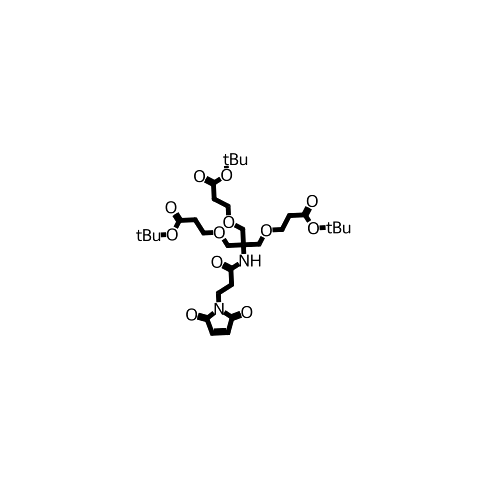 CC(C)(C)OC(=O)CCOCC(COCCC(=O)OC(C)(C)C)(COCCC(=O)OC(C)(C)C)NC(=O)CCN1C(=O)C=CC1=O